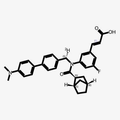 [2H][C@@H](c1ccc(-c2ccc(N(C)C)cc2)cc1)N(C(=O)[C@H]1C[C@@H]2CC[C@H]1C2)c1cc(F)cc(/C=C/C(=O)O)c1